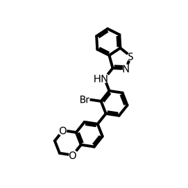 Brc1c(Nc2nsc3ccccc23)cccc1-c1ccc2c(c1)OCCO2